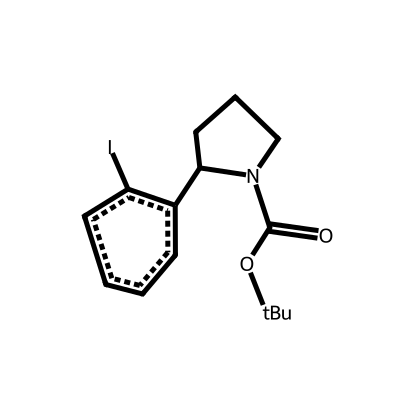 CC(C)(C)OC(=O)N1CCCC1c1ccccc1I